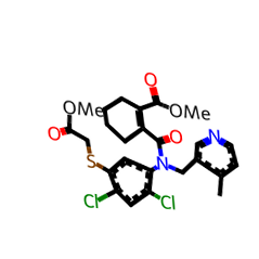 COC(=O)CSc1cc(N(Cc2cnccc2C)C(=O)C2=C(C(=O)OC)CCCC2)c(Cl)cc1Cl